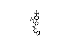 Cc1c(NC(=O)/C=C\c2ccco2)cnn1-c1ccc(C(F)(F)F)cc1C(F)(F)F